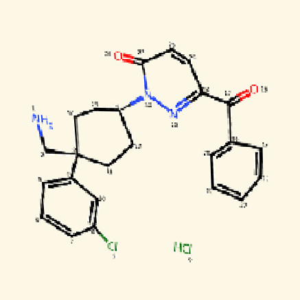 Cl.NC[C@]1(c2cccc(Cl)c2)CC[C@H](n2nc(C(=O)c3ccccc3)ccc2=O)CC1